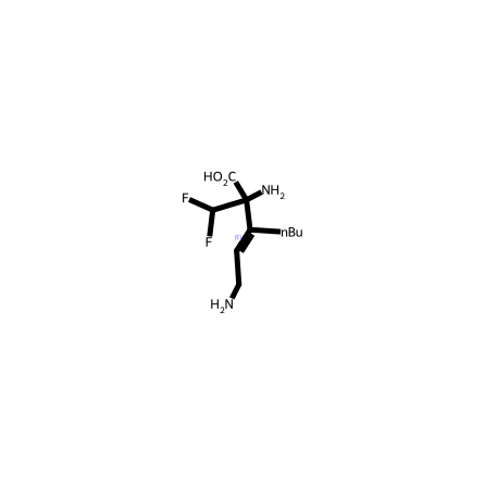 CCCC/C(=C\CN)C(N)(C(=O)O)C(F)F